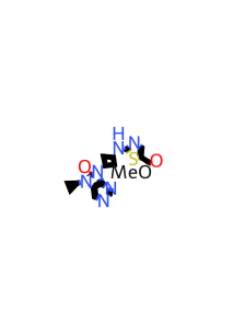 COC(=O)c1cnc(N[C@H]2C[C@H](n3c(=O)n(C4CC4)c4cncnc43)C2)s1